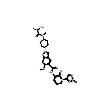 COc1cc2nn([C@H]3CC[C@H](N(C)C(=O)[C@@H](C)O)CC3)cc2cc1C(=O)Nc1cccn(-c2cnn(C)n2)c1=O